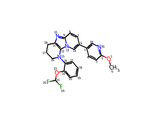 COc1ccc(-c2ccc3nc4c(n3c2)N(c2ccccc2OC(F)F)CCC4)cn1